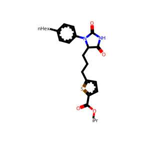 CCCCCCc1ccc(N2C(=O)NC(=O)C2CCCc2ccc(C(=O)OC(C)C)s2)cc1